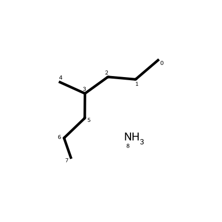 CCCC(C)CCC.N